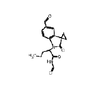 CCCC(C(=O)NC=O)N1C(=O)C2(CC2)c2cc(C=O)ccc21